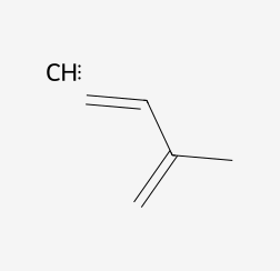 C=CC(=C)C.[CH]